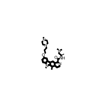 Cc1c2ccnc(C(=O)N[C@H](C)CN(C)C)c2cc2c3cc(OCCCN4CCN(C)CC4)ccc3n(C)c12